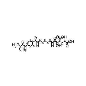 CC(C)C(=O)Nc1ccc(C(=O)NCCCCCNC(=O)N(O)[C@@H](CCC(=O)O)C(=O)O)cc1